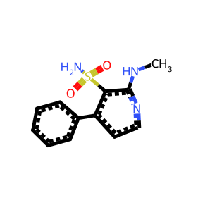 CNc1nccc(-c2ccccc2)c1S(N)(=O)=O